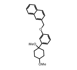 COC1CCC(OC)(c2cccc(OCc3ccc4ccccc4c3)c2)CC1